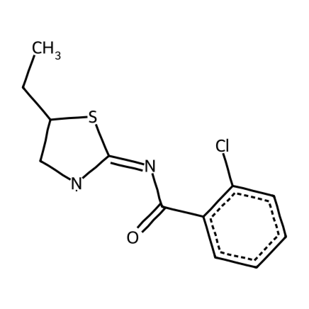 CCC1C[N]C(=NC(=O)c2ccccc2Cl)S1